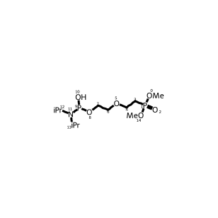 COP(=O)(CCOCCOP(O)N(C(C)C)C(C)C)OC